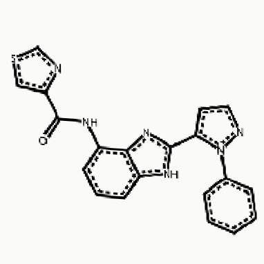 O=C(Nc1cccc2[nH]c(-c3ccnn3-c3ccccc3)nc12)c1cscn1